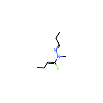 CC/C=C(\F)N(C)/N=C/CC